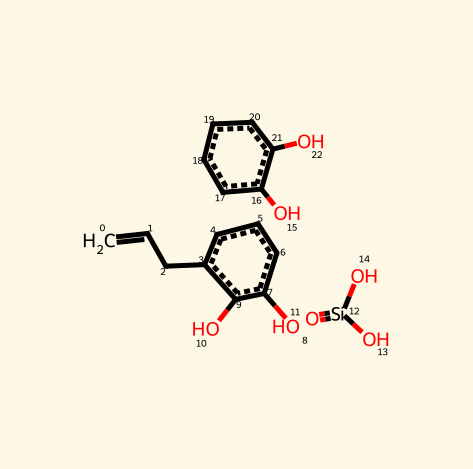 C=CCc1cccc(O)c1O.O=[Si](O)O.Oc1ccccc1O